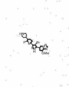 COc1cc(-c2[nH]nc(-c3ccc(C4CCNCC4)c(F)n3)c2C(C)C)cn2ncnc12